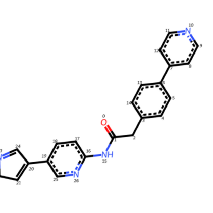 O=C(Cc1ccc(-c2ccncc2)cc1)Nc1ccc(C2=CCN=C2)cn1